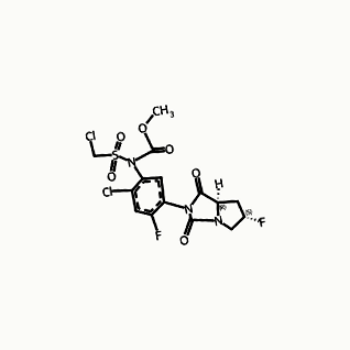 COC(=O)N(c1cc(N2C(=O)[C@H]3C[C@H](F)CN3C2=O)c(F)cc1Cl)S(=O)(=O)CCl